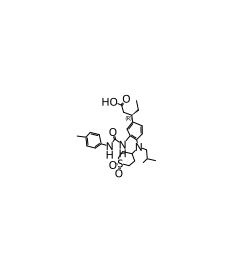 CC[C@H](CC(=O)O)c1ccc(N(CC(C)C)C2CCS(=O)(=O)CC2)c(NC(=O)Nc2ccc(C)cc2)c1